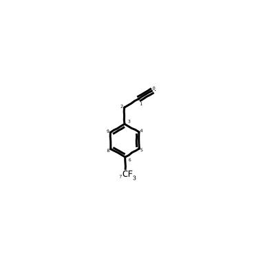 [C]#CCc1ccc(C(F)(F)F)cc1